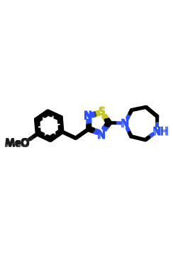 COc1cccc(Cc2nsc(N3CCCNCC3)n2)c1